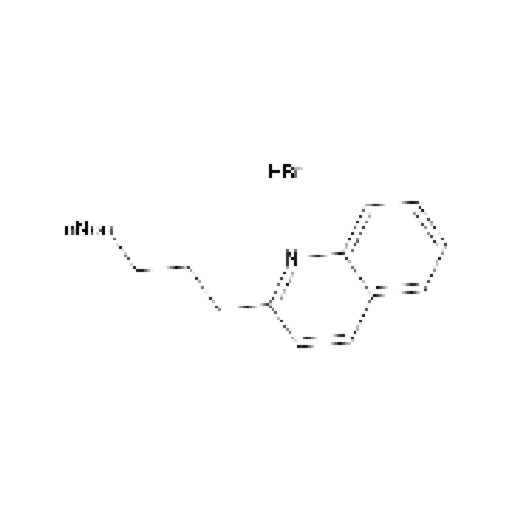 Br.CCCCCCCCCCCCc1ccc2ccccc2n1